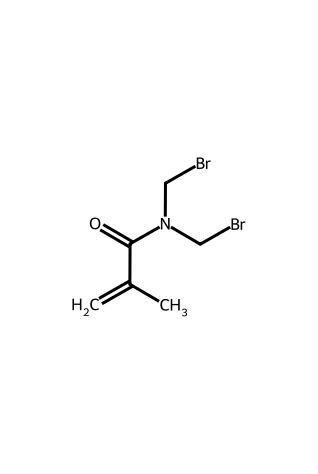 C=C(C)C(=O)N(CBr)CBr